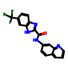 O=C(Nc1ccc2cccnc2c1)c1nc2ccc(C(F)(F)F)cc2[nH]1